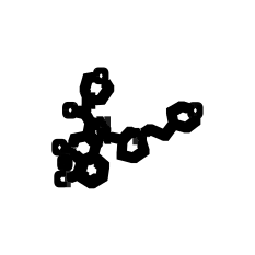 O=C(c1nn(C2CCCN(CCC3CCOCC3)C2)c2c1CS(=O)(=O)c1c(Cl)cccc1-2)N1CCOCC1